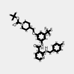 CC(C)(C)OC(=O)N1CCC(COc2cc(NC(=O)c3cccnc3NCc3ccc(F)cc3)cc(C(F)(F)F)c2)CC1